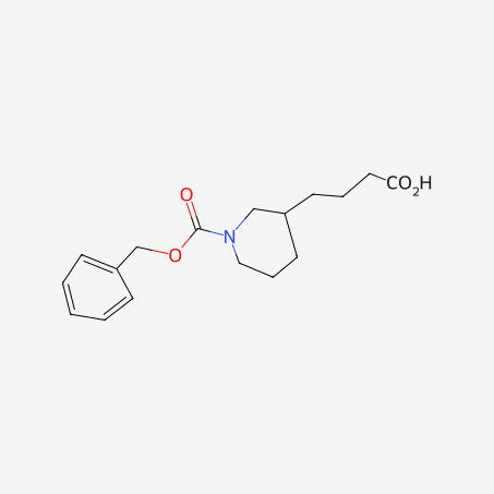 O=C(O)CCCC1CCCN(C(=O)OCc2ccccc2)C1